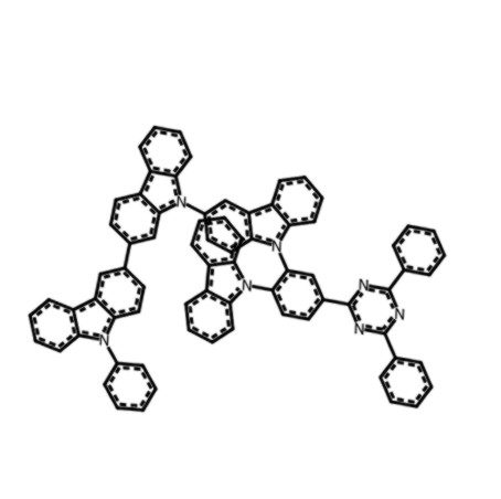 c1ccc(-c2nc(-c3ccccc3)nc(-c3ccc(-n4c5ccccc5c5ccccc54)c(-n4c5ccccc5c5cc(-n6c7ccccc7c7ccc(-c8ccc9c(c8)c8ccccc8n9-c8ccccc8)cc76)ccc54)c3)n2)cc1